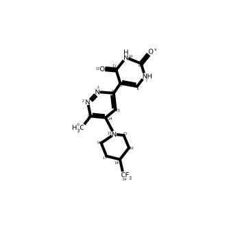 Cc1nnc(-c2c[nH]c(=O)[nH]c2=O)cc1N1CCC(C(F)(F)F)CC1